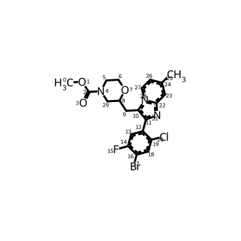 COC(=O)N1CCOC(Cc2c(-c3cc(F)c(Br)cc3Cl)nc3cc(C)ccn23)C1